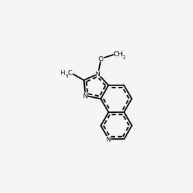 COn1c(C)nc2c3cnccc3ccc21